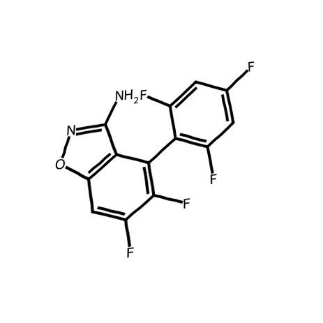 Nc1noc2cc(F)c(F)c(-c3c(F)cc(F)cc3F)c12